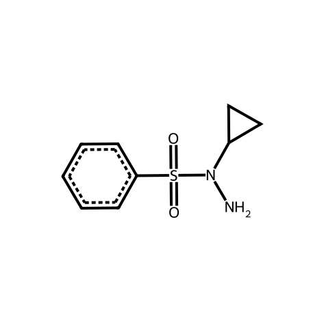 NN(C1CC1)S(=O)(=O)c1ccccc1